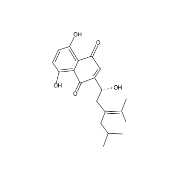 CC(C)=C(CC(C)C)C[C@@H](O)C1=CC(=O)c2c(O)ccc(O)c2C1=O